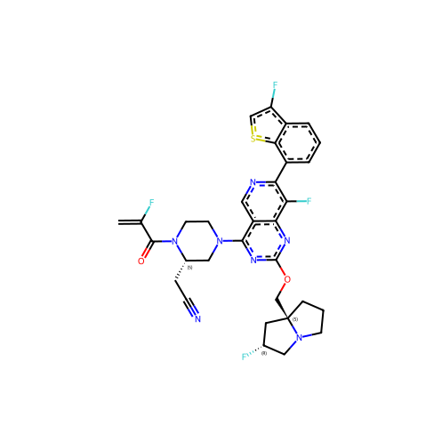 C=C(F)C(=O)N1CCN(c2nc(OC[C@@]34CCCN3C[C@H](F)C4)nc3c(F)c(-c4cccc5c(F)csc45)ncc23)C[C@@H]1CC#N